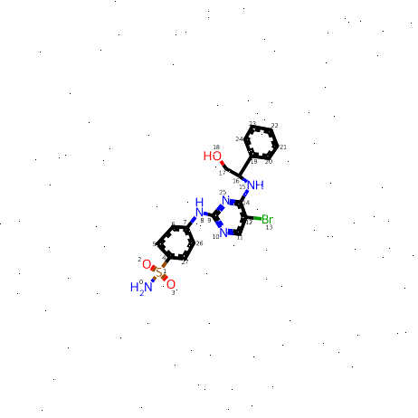 NS(=O)(=O)c1ccc(Nc2ncc(Br)c(NC(CO)c3ccccc3)n2)cc1